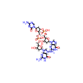 Nc1ncn([C@H]2C[C@@H](OP(=O)(O)OCC3O[C@@H](n4cnc5c(=O)[nH]c(N)nc54)C[C@H]3O)C(COP(=O)(O)OCC3O[C@@H](n4cnc5c(=O)[nH]c(N)nc54)C[C@H]3O)O2)c(=O)n1